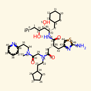 CC(C)C[C@H](O)[C@H](O)[C@H](CC1CCCCC1)NC(=O)[C@@H](CC(=O)N(CCC1CCCC1)CC(=O)N(C)CCc1ccccn1)Cc1csc(N)n1